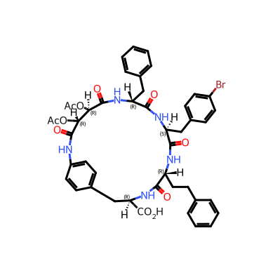 CC(=O)O[C@H]1C(=O)Nc2ccc(cc2)C[C@H](C(=O)O)NC(=O)[C@@H](CCc2ccccc2)NC(=O)[C@H](Cc2ccc(Br)cc2)NC(=O)[C@@H](Cc2ccccc2)NC(=O)[C@@H]1OC(C)=O